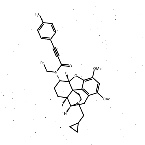 COc1cc(OC(C)=O)c2c3c1O[C@H]1[C@@H](N(CC(C)C)C(=O)C#Cc4ccc(C(F)(F)F)cc4)CC[C@H]4[C@@H](C2)N(CC2CC2)CC[C@@]341